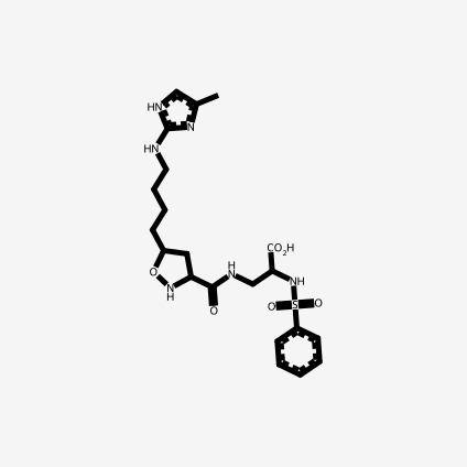 Cc1c[nH]c(NCCCCC2CC(C(=O)NCC(NS(=O)(=O)c3ccccc3)C(=O)O)NO2)n1